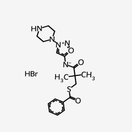 Br.CC(C)(CSC(=O)c1ccccc1)C(=O)[N-]c1c[n+](N2CCNCC2)no1